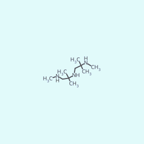 CNCC(C)(C)NCC(C)(C)NC